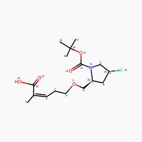 CC(=CCCOC[C@@H]1C[C@H](F)CN1C(=O)OC(C)(C)C)C(=O)O